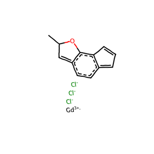 CC1C=c2ccc3c(c2O1)C=CC=3.[Cl-].[Cl-].[Cl-].[Gd+3]